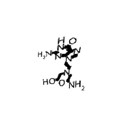 NCCN(CCn1cnc2c(=O)[nH]c(N)nc21)CC(=O)O